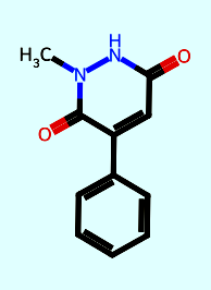 Cn1[nH]c(=O)cc(-c2ccccc2)c1=O